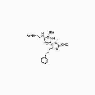 CC(=O)NCCNC(=O)[C@@H](NC(=O)[C@H](CCCCc1ccccc1)[C@H](C)N(O)C=O)C(C)(C)C